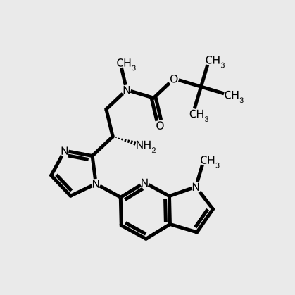 CN(C[C@H](N)c1nccn1-c1ccc2ccn(C)c2n1)C(=O)OC(C)(C)C